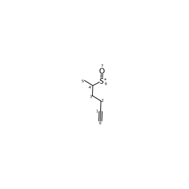 C#CCCC(C)[S+]=O